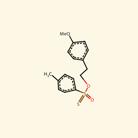 COc1ccc(CCOS(=O)(=S)c2ccc(C)cc2)cc1